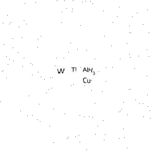 [AlH3].[Cu].[Ti].[W]